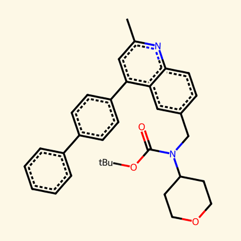 Cc1cc(-c2ccc(-c3ccccc3)cc2)c2cc(CN(C(=O)OC(C)(C)C)C3CCOCC3)ccc2n1